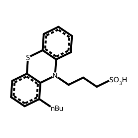 CCCCc1cccc2c1N(CCCS(=O)(=O)O)c1ccccc1S2